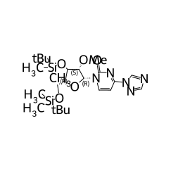 CO[C@H]1C(O[Si](C)(C)C(C)(C)C)[C@@H](CO[Si](C)(C)C(C)(C)C)O[C@H]1n1ccc(-n2cncn2)nc1=O